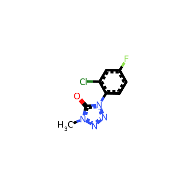 Cn1nnn(-c2ccc(F)cc2Cl)c1=O